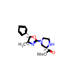 COC(=O)[C@@H]1CN(C2=N[C@@H](C)[C@H](c3ccccc3)O2)CCN1